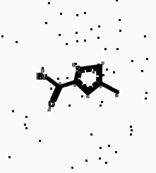 CCC(C)C(=O)c1cc(C)cs1